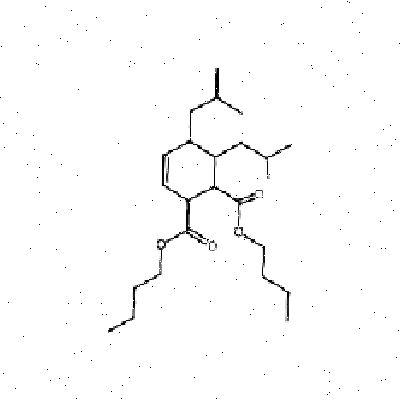 CCCCOC(=O)C1C=CC(CC(C)C)C(CC(C)C)C1C(=O)OCCCC